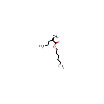 C=C(CCC)C(=O)OCCCCCC